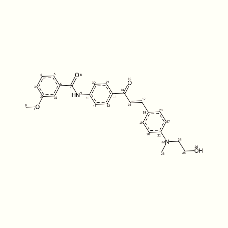 COc1cccc(C(=O)Nc2ccc(C(=O)/C=C/c3ccc(N(C)CCO)cc3)cc2)c1